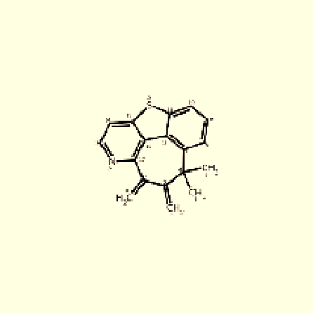 C=C1C(=C)C(C)(C)c2cccc3sc4ccnc1c4c23